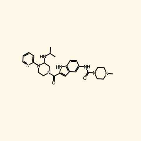 CC(C)NC1CN(C(=O)c2cc3cc(NC(=O)N4CCN(C)CC4)ccc3[nH]2)CCN1c1ccccn1